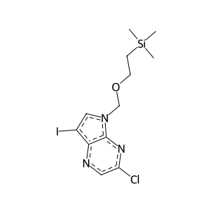 C[Si](C)(C)CCOCn1cc(I)c2ncc(Cl)nc21